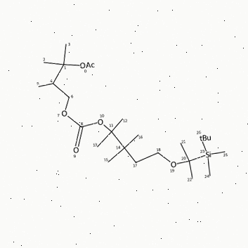 CC(=O)OC(C)(C)C(C)COC(=O)OC(C)(C)C(C)(C)CCOC(C)(C)[Si](C)(C)C(C)(C)C